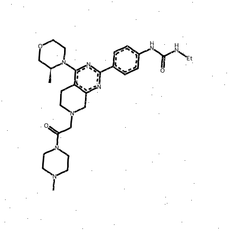 CCNC(=O)Nc1ccc(-c2nc3c(c(N4CCOC[C@@H]4C)n2)CCN(CC(=O)N2CCN(C)CC2)C3)cc1